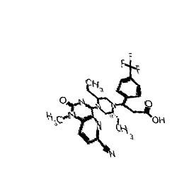 CCC1CN(C(CC(=O)O)c2ccc(C(F)(F)F)cc2)[C@H](CC)CN1c1nc(=O)n(C)c2ccc(C#N)nc12